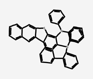 c1ccc(-c2ccccc2N(c2ccccc2)c2ccc3c(sc4cc5ccccc5cc43)c2N(c2ccccc2)c2ccccc2)cc1